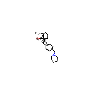 CC12CCC(C(=Cc3ccc(CN4CCCCC4)cc3)C1=O)C2(C)C